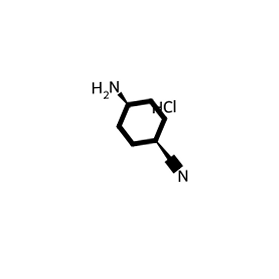 Cl.N#C[C@H]1CC[C@@H](N)CC1